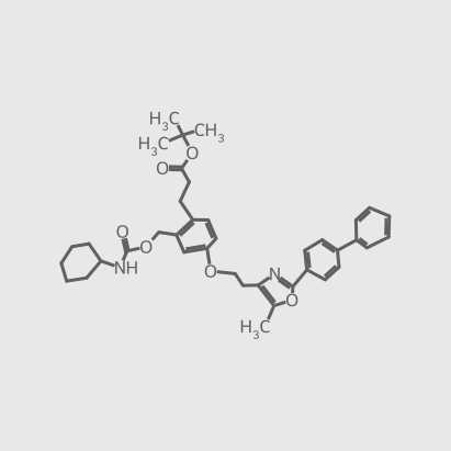 Cc1oc(-c2ccc(-c3ccccc3)cc2)nc1CCOc1ccc(CCC(=O)OC(C)(C)C)c(COC(=O)NC2CCCCC2)c1